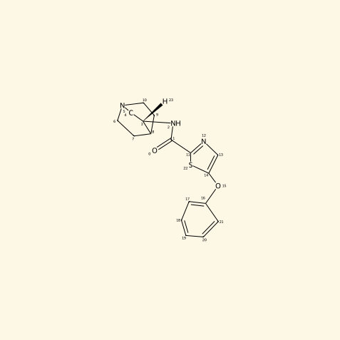 O=C(N[C@H]1CN2CCC1CC2)c1ncc(Oc2ccccc2)s1